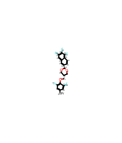 CCCc1cc(F)c(OC[C@H]2CO[C@H](c3ccc4c(F)c(F)c(F)cc4c3)OC2)c(F)c1